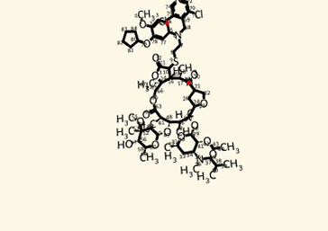 COC1=CCC(N(CCSC2C(=O)O[C@@]3(C)[C@H]2[C@@H](C)C(=O)[C@@H]2CO[C@](C)(C2)[C@H](O[C@@H]2O[C@H](C)C[C@H](N(C)CC(C)C)[C@H]2OC(C)=O)[C@@H](C)[C@H](O[C@H]2C[C@@](C)(OC)[C@@H](O)[C@H](C)O2)[C@@H](C)C(=O)O[C@@H]3I)Cc2c(Cl)cncc2Cl)C=C1OC1CCCC1